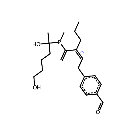 C=C(/C(=C\Cc1ccc(C=O)cc1)CCC)P(C)C(C)(O)CCCCO